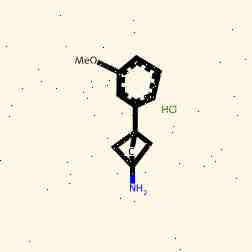 COc1cccc(C23CC(N)(C2)C3)c1.Cl